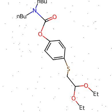 CCCCN(CCCC)C(=O)Oc1ccc(SCC(OCC)OCC)cc1